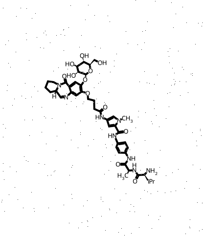 CC(C)[C@H](N)C(=O)N[C@@H](C)C(=O)Nc1ccc(NC(=O)c2cc(NC(=O)CCCOc3cc4c(cc3O[C@@H]3O[C@H](CO)[C@@H](O)[C@H](O)[C@H]3O)C(=O)N3CCCC[C@H]3C=N4)cn2C)cc1